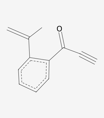 C#CC(=O)c1ccccc1C(=C)C